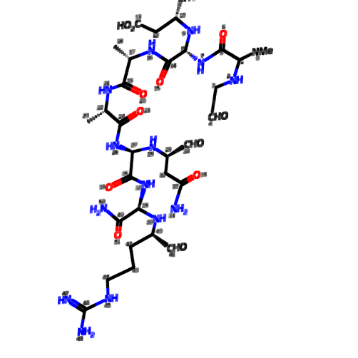 CNC(NCC=O)C(=O)N[C@@H](N[C@@H](C=O)CC(=O)O)C(=O)N[C@@H](C)C(=O)N[C@@H](C)C(=O)N[C@@H](N[C@@H](C=O)CC(N)=O)C(=O)N[C@@H](N[C@@H](C=O)CCCNC(=N)N)C(N)=O